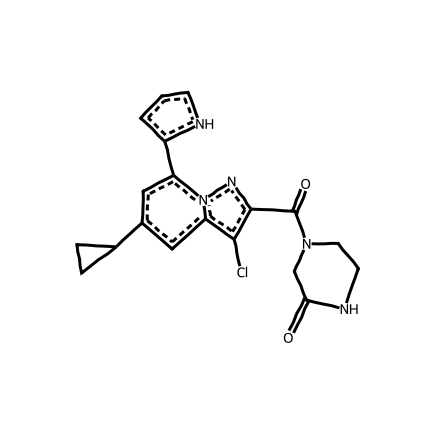 O=C1CN(C(=O)c2nn3c(-c4ccc[nH]4)cc(C4CC4)cc3c2Cl)CCN1